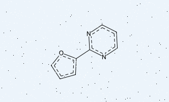 [c]1ccnc(-c2ccco2)n1